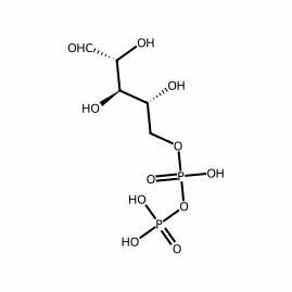 O=C[C@H](O)[C@H](O)[C@H](O)COP(=O)(O)OP(=O)(O)O